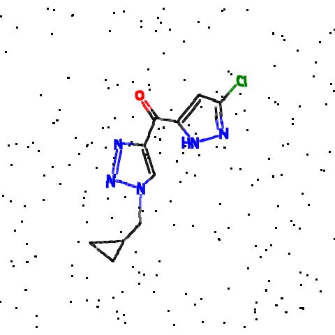 O=C(c1cn(CC2CC2)nn1)c1cc(Cl)n[nH]1